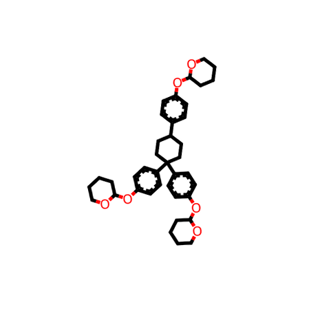 c1cc(C2CCC(c3ccc(OC4CCCCO4)cc3)(c3ccc(OC4CCCCO4)cc3)CC2)ccc1OC1CCCCO1